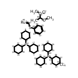 C1CCC(P(C2CCCCC2)C2CCCCC2)CC1.C1CCC(P(C2CCCCC2)C2CCCCC2)CC1.COC(C)OC.[Cl-].[Cl-].[Ru+2]=[CH]Sc1ccccc1